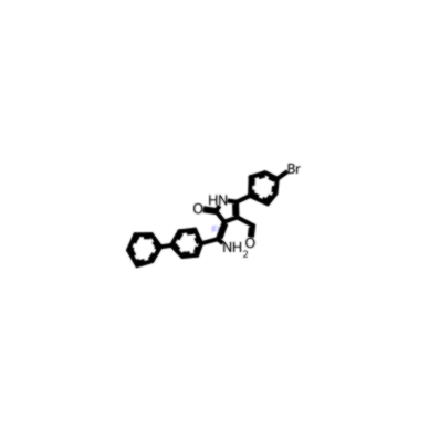 N/C(=C1/C(=O)NC(c2ccc(Br)cc2)=C1C=O)c1ccc(-c2ccccc2)cc1